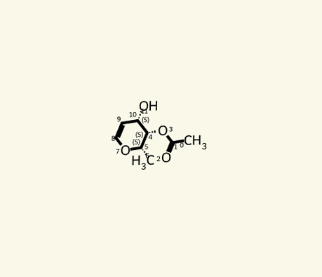 CC(=O)O[C@@H]1[C@H](C)OC=C[C@@H]1O